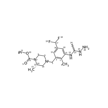 Cc1c(CN2CCN(C(=O)OC(C)C)[C@@H](C)C2)cc(C(F)F)cc1NC(=S)NN